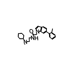 Cc1ccccc1-c1ccc2ccn(CC(=O)NCCN(C)C3CCCCC3)c2c1